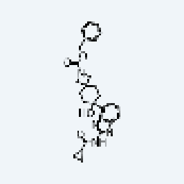 O=C(Nc1nc2cccc(C3(O)CCC4(CC3)CN(C(=O)OCc3ccccc3)C4)n2n1)C1CC1